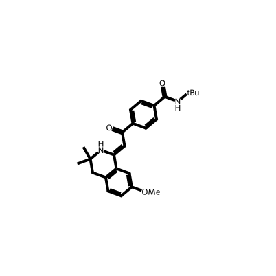 COc1ccc2c(c1)C(=CC(=O)c1ccc(C(=O)NC(C)(C)C)cc1)NC(C)(C)C2